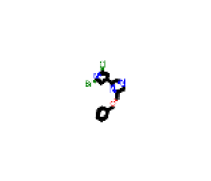 Clc1cc(C2=NC(COCc3ccccc3)CN=C2)cc(Br)n1